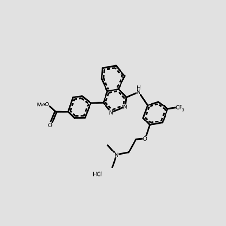 COC(=O)c1ccc(-c2nnc(Nc3cc(OCCN(C)C)cc(C(F)(F)F)c3)c3ccccc23)cc1.Cl